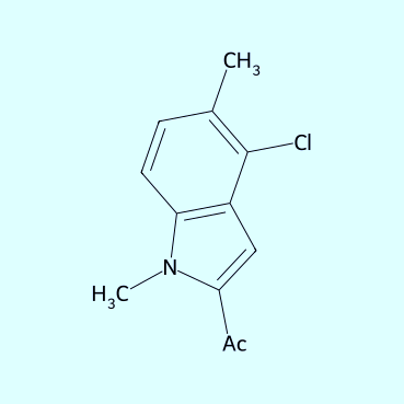 CC(=O)c1cc2c(Cl)c(C)ccc2n1C